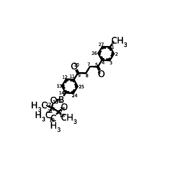 Cc1ccc(C(=O)CCC(=O)c2ccc(B3OC(C)(C)C(C)(C)O3)cc2)cc1